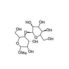 COC1OC(CO)[C@@H](O[C@@H]2OC(CO)[C@H](O)C(O)[C@@H]2O)[C@H](O)C1O